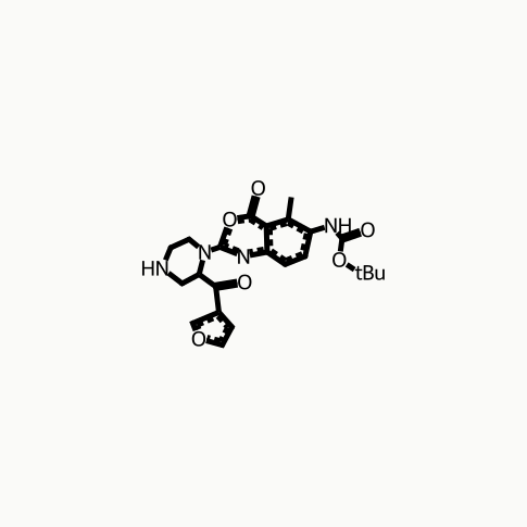 Cc1c(NC(=O)OC(C)(C)C)ccc2nc(N3CCNCC3C(=O)c3ccoc3)oc(=O)c12